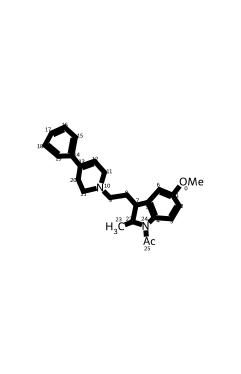 COc1ccc2c(c1)C(CCN1CC=C(c3ccccc3)CC1)C(C)N2C(C)=O